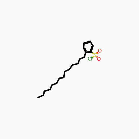 CCCCCCCCCCCCCCc1ccccc1S(=O)(=O)Cl